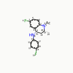 CC(=O)N1c2ccc(F)cc2[C@@H](Nc2ccc(F)cc2)C[C@H]1C